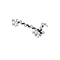 CCOCC(C)(COCCOCCOCCOC(C)C)C(N)=O